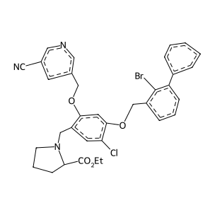 CCOC(=O)C1CCCN1Cc1cc(Cl)c(OCc2cccc(-c3ccccc3)c2Br)cc1OCc1cncc(C#N)c1